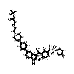 CC(C)(C)OC(=O)COCCN1CCN(c2ccc(-c3cnc4[nH]cc(C(=O)c5c(F)ccc(NS(=O)(=O)N6CC[C@@H](F)C6)c5F)c4c3)cc2)CC1